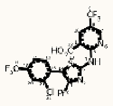 CC(C)c1nc(Nc2ncc(C(F)(F)F)cc2C(=O)O)sc1-c1ccc(C(F)(F)F)cc1Cl